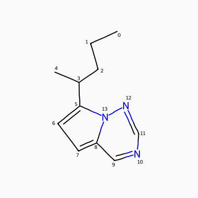 CCCC(C)c1ccc2cncnn12